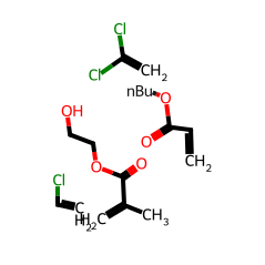 C=C(C)C(=O)OCCO.C=C(Cl)Cl.C=CC(=O)OCCCC.C=CCl